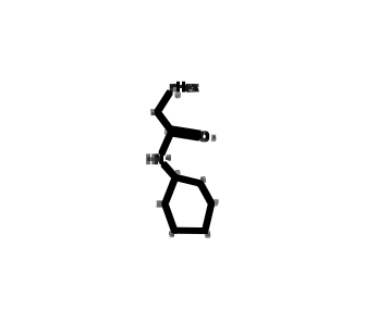 [CH2]CCCCCCC(=O)NC1CCCCC1